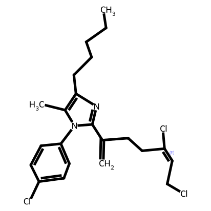 C=C(CC/C(Cl)=C\CCl)c1nc(CCCCC)c(C)n1-c1ccc(Cl)cc1